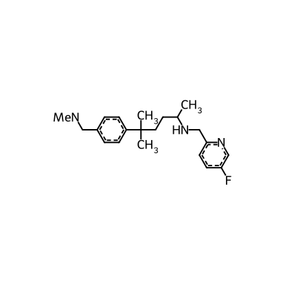 CNCc1ccc(C(C)(C)CCC(C)NCc2ccc(F)cn2)cc1